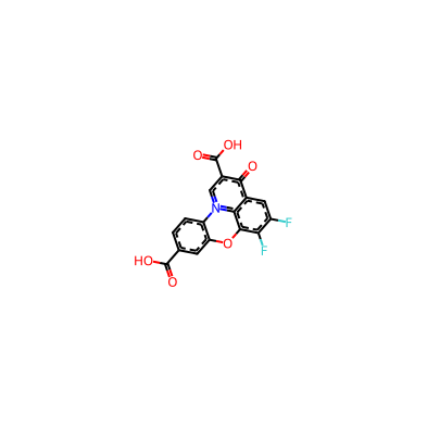 O=C(O)c1ccc2c(c1)Oc1c(F)c(F)cc3c(=O)c(C(=O)O)cn-2c13